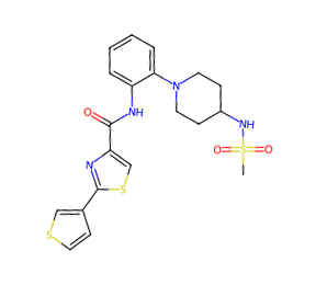 CS(=O)(=O)NC1CCN(c2ccccc2NC(=O)c2csc(-c3ccsc3)n2)CC1